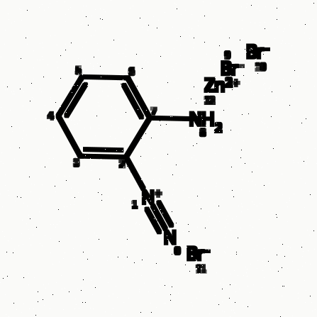 N#[N+]c1ccccc1N.[Br-].[Br-].[Br-].[Zn+2]